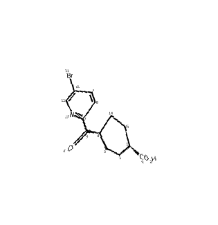 O=C(O)[C@H]1CC[C@@H](C(=O)c2ccc(Br)cn2)CC1